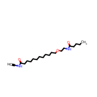 C#CNC(=O)CCCCCCCCCCCOCCNC(=O)CCCC